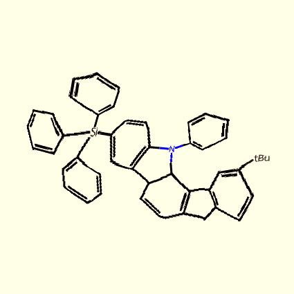 CC(C)(C)c1ccc2c(c1)C1=C(C=CC3c4cc([Si](c5ccccc5)(c5ccccc5)c5ccccc5)ccc4N(c4ccccc4)C13)C2